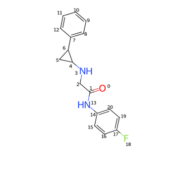 O=C(CNC1CC1c1ccccc1)Nc1ccc(F)cc1